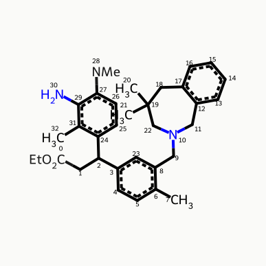 CCOC(=O)CC(c1ccc(C)c(CN2Cc3ccccc3CC(C)(C)C2)c1)c1ccc(NC)c(N)c1C